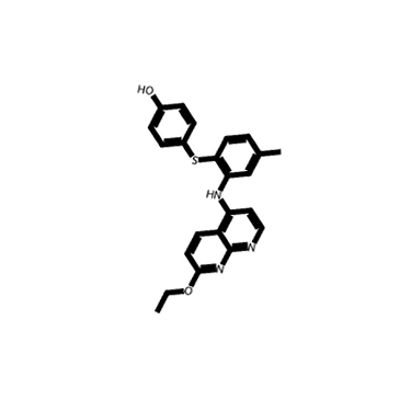 CCOc1ccc2c(Nc3cc(C)ccc3Sc3ccc(O)cc3)ccnc2n1